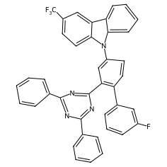 Fc1cccc(-c2ccc(-n3c4ccccc4c4cc(C(F)(F)F)ccc43)cc2-c2nc(-c3ccccc3)nc(-c3ccccc3)n2)c1